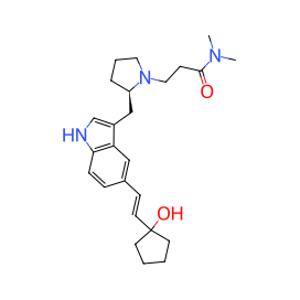 CN(C)C(=O)CCN1CCC[C@@H]1Cc1c[nH]c2ccc(/C=C/C3(O)CCCC3)cc12